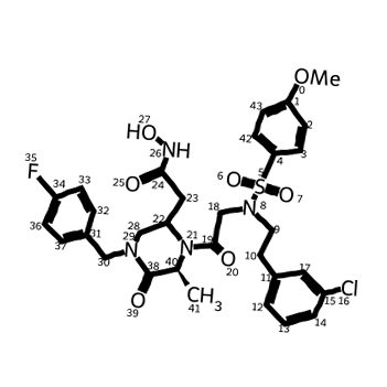 COc1ccc(S(=O)(=O)N(CCc2cccc(Cl)c2)CC(=O)N2C(CC(=O)NO)CN(Cc3ccc(F)cc3)C(=O)[C@@H]2C)cc1